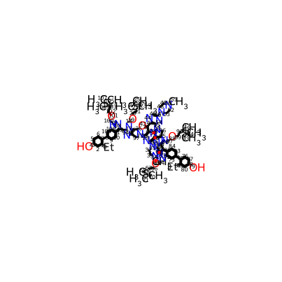 CCc1cc(O)ccc1-c1ccc2c(-c3nc4c(n3COCC[Si](C)(C)C)CN(c3nc(N5CCN(C)CC5)cnc3C(=O)c3ncc(N5CCN(C)CC5)nc3N3Cc5nc(-c6nn(COCC[Si](C)(C)C)c7cc(-c8ccc(O)cc8CC)ccc67)n(COCC[Si](C)(C)C)c5C3)C4)nn(COCC[Si](C)(C)C)c2c1